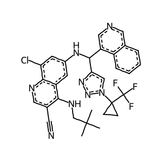 CC(C)(C)CNc1c(C#N)cnc2c(Cl)cc(NC(c3cn(C4(C(F)(F)F)CC4)nn3)c3cncc4ccccc34)cc12